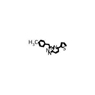 Cc1ccc(Cc2nnc3ccc(-c4cccs4)nn23)cc1